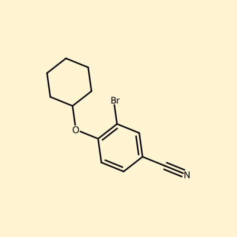 N#Cc1ccc(OC2CCCCC2)c(Br)c1